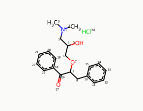 CN(C)CC(O)COC(Cc1ccccc1)C(=O)c1ccccc1.Cl